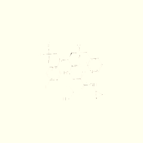 CCC[C@H](NC(=O)[C@H](CS(=O)(=O)Cc1cccnc1)N(CC(F)(F)F)c1ccc(F)cc1)C(=O)C(=O)NC1CC1